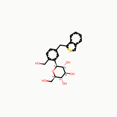 OCc1ccc(Cc2scc3ccccc23)cc1[C@@H]1O[C@H](CO)[C@@H](O)[C@H](O)[C@H]1O